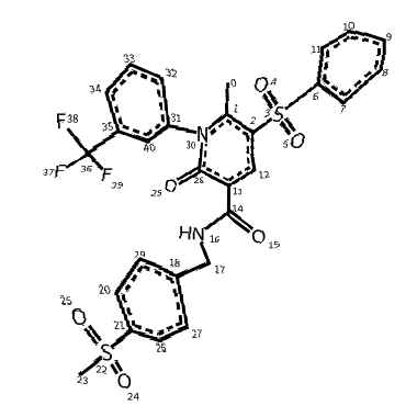 Cc1c(S(=O)(=O)c2ccccc2)cc(C(=O)NCc2ccc(S(C)(=O)=O)cc2)c(=O)n1-c1cccc(C(F)(F)F)c1